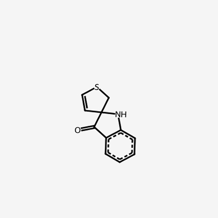 O=C1c2ccccc2NC12C=CSC2